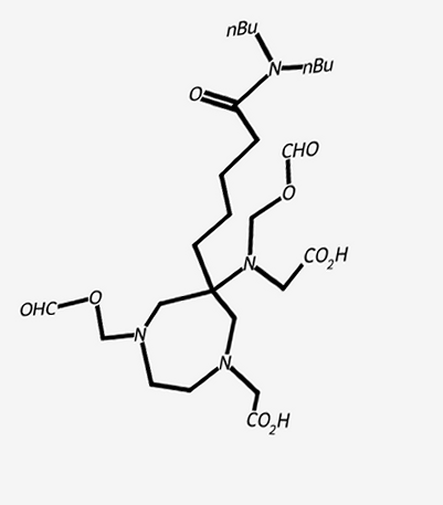 CCCCN(CCCC)C(=O)CCCCC1(N(COC=O)CC(=O)O)CN(COC=O)CCN(CC(=O)O)C1